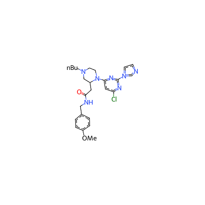 CCCCN1CCN(c2cc(Cl)nc(-n3ccnc3)n2)C(CC(=O)NCc2ccc(OC)cc2)C1